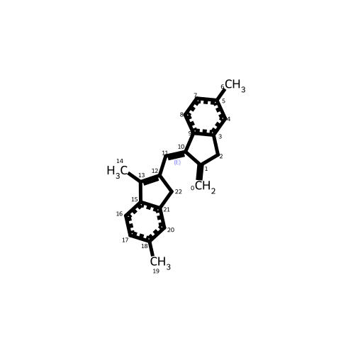 C=C1Cc2cc(C)ccc2/C1=C/C1=C(C)c2ccc(C)cc2C1